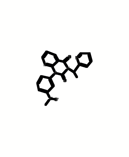 CC(c1ccccn1)n1c(=O)c2cccnc2n(-c2cccc([S+](C)[O-])c2)c1=O